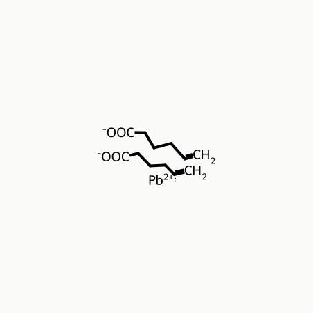 C=CCCCC(=O)[O-].C=CCCCC(=O)[O-].[Pb+2]